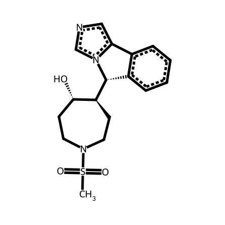 CS(=O)(=O)N1CC[C@H]([C@H]2c3ccccc3-c3cncn32)[C@@H](O)CC1